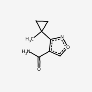 CC1(c2nocc2C(N)=O)CC1